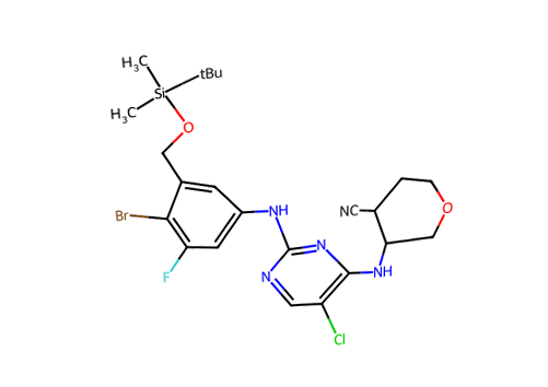 CC(C)(C)[Si](C)(C)OCc1cc(Nc2ncc(Cl)c(NC3COCCC3C#N)n2)cc(F)c1Br